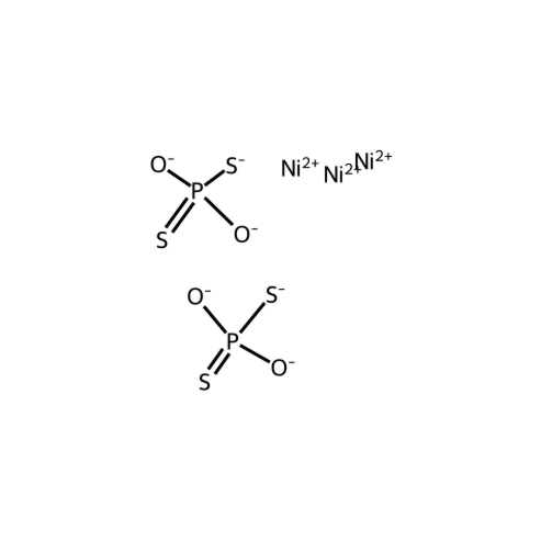 [Ni+2].[Ni+2].[Ni+2].[O-]P([O-])(=S)[S-].[O-]P([O-])(=S)[S-]